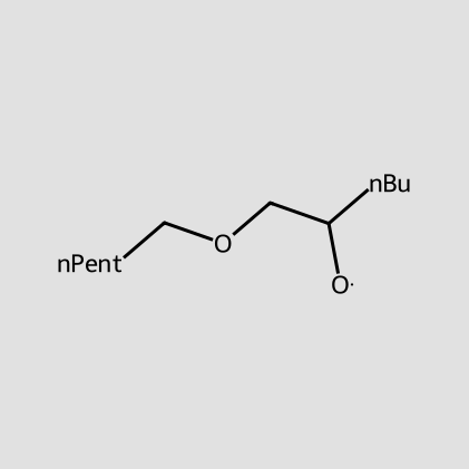 CCCCCCOCC([O])CCCC